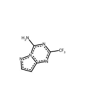 Nc1nc(C(F)(F)F)nc2ccnn12